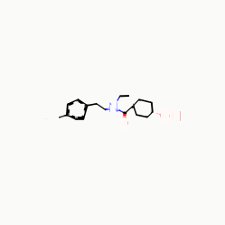 CCc1ccc(CCN2CC[C@]3(CC[C@H](O)CC3)C2=O)cc1